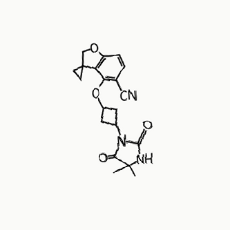 CC1(C)NC(=O)N(C2CC(Oc3c(C#N)ccc4c3C3(CC3)CO4)C2)C1=O